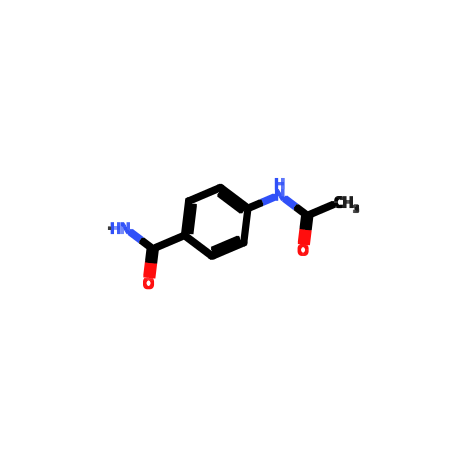 CC(=O)Nc1ccc(C([NH])=O)cc1